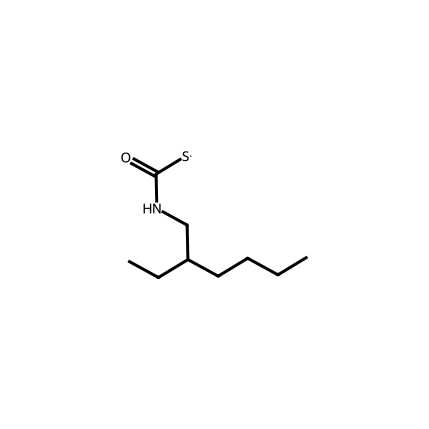 CCCCC(CC)CNC(=O)[S]